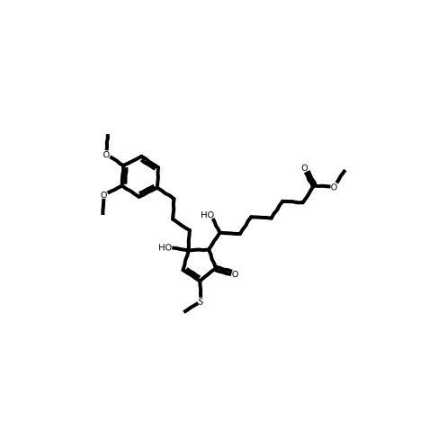 COC(=O)CCCCCC(O)C1C(=O)C(SC)=CC1(O)CCCc1ccc(OC)c(OC)c1